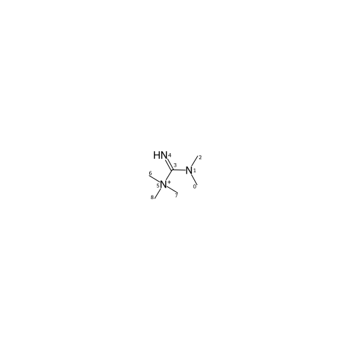 CN(C)C(=N)[N+](C)(C)C